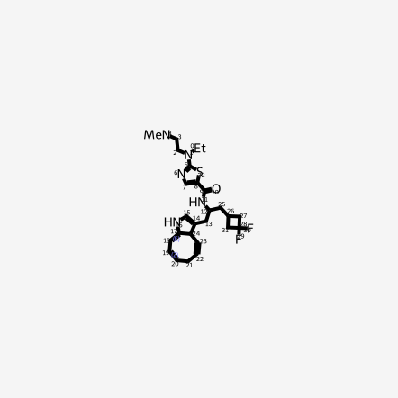 CCN(CCNC)c1ncc(C(=O)NC(CC2=CN/C3=C/C=C\CC#CC23)CC2CC(F)(F)C2)s1